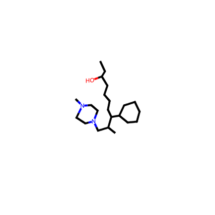 CCC(O)CCCCC(C(C)CN1CCN(C)CC1)C1CCCCC1